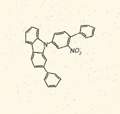 O=[N+]([O-])c1cc(-n2c3ccccc3c3ccc(-c4ccccc4)cc32)ccc1-c1ccccc1